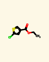 CCOC(=O)c1csc(Cl)c1